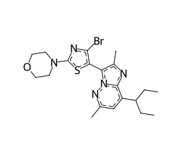 CCC(CC)c1cc(C)nn2c(-c3sc(N4CCOCC4)nc3Br)c(C)nc12